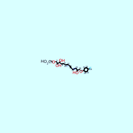 O=C(O)COC[C@H](O)C(O)C=C/C=C/C#C/C=C/[C@H](O)COc1ccc(F)cc1